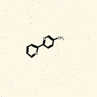 [SiH3]c1ccc(-c2ccccn2)nc1